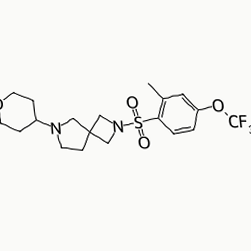 Cc1cc(OC(F)(F)F)ccc1S(=O)(=O)N1CC2(CCN(C3CCOCC3)C2)C1